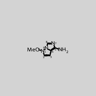 COn1ccc2c(N)ncn21